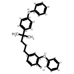 CC(C)(CCCc1ccc(F)c(Oc2ccccc2)c1)c1ccc(Oc2ccccc2)cc1